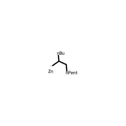 [CH2]C(CCCC)CCCCCC.[Zn]